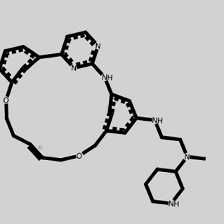 CN(CCNc1cc2cc(c1)Nc1nccc(n1)-c1cccc(c1)OCC/C=C/COC2)C1CCCNC1